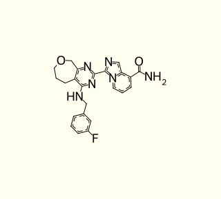 NC(=O)c1cccn2c(-c3nc4c(c(NCc5cccc(F)c5)n3)CCCOC4)ncc12